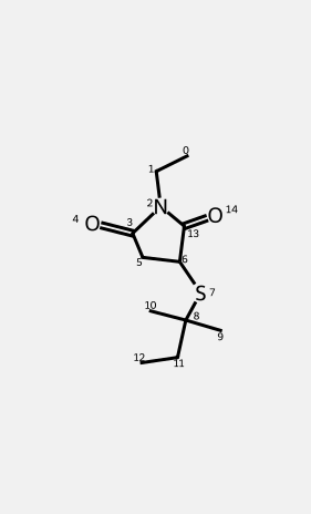 CCN1C(=O)CC(SC(C)(C)CC)C1=O